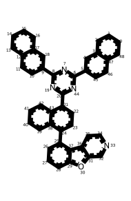 c1ccc2cc(-c3nc(-c4ccc5ccccc5c4)nc(-c4ccc(-c5cccc6oc7cnccc7c56)c5ccccc45)n3)ccc2c1